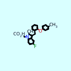 Cc1ccc(Oc2ccccc2Cc2c(C)n(CC(=O)O)c3ccc(F)cc23)cc1